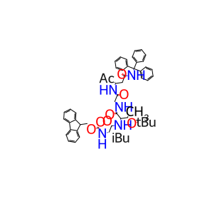 CC[C@H](C)[C@H](NC(=O)OCC1c2ccccc2-c2ccccc21)C(=O)N[C@H](C(=O)NCC(=O)N[C@@H](CC(=O)NC(c1ccccc1)(c1ccccc1)c1ccccc1)C(C)=O)[C@@H](C)OC(C)(C)C